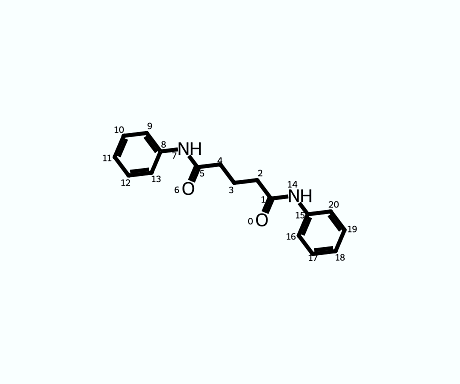 O=C(CCCC(=O)Nc1ccccc1)Nc1ccccc1